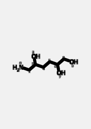 NCC(O)CCC(O)CO